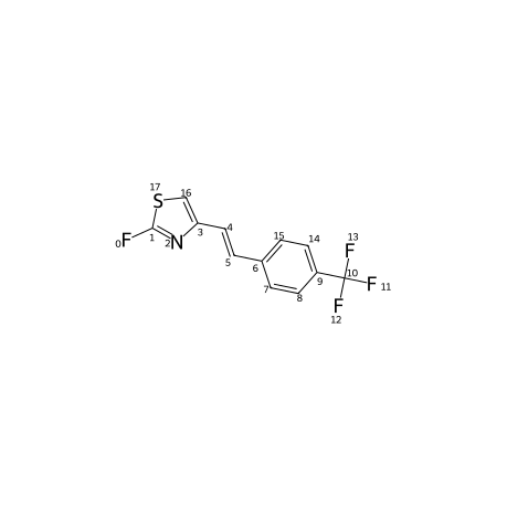 Fc1nc(C=Cc2ccc(C(F)(F)F)cc2)cs1